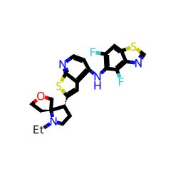 CCN1CC[C@@H](c2cc3c(Nc4c(F)cc5scnc5c4F)ccnc3s2)[C@]12CCOC2